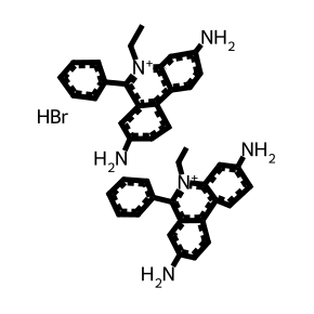 Br.CC[n+]1c(-c2ccccc2)c2cc(N)ccc2c2ccc(N)cc21.CC[n+]1c(-c2ccccc2)c2cc(N)ccc2c2ccc(N)cc21